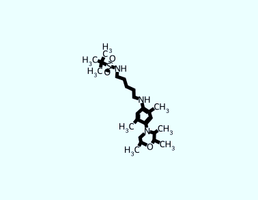 Cc1cc(N2CC(C)OC(C)C2C)c(C)cc1NCCCCCNS(=O)(=O)C(C)(C)C